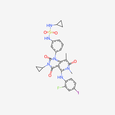 Cc1c(=O)n(C)c(Nc2ccc(I)cc2F)c2c(=O)n(C3CC3)c(=O)n(-c3cccc(NS(=O)(=O)NC4CC4)c3)c12